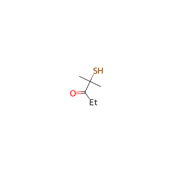 CCC(=O)C(C)(C)S